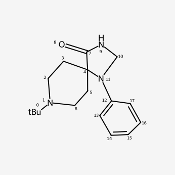 CC(C)(C)N1CCC2(CC1)C(=O)NCN2c1ccccc1